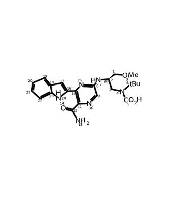 COC[C@@H](CN(C(=O)O)C(C)(C)C)Nc1cnc(C(N)=O)c(-c2cc3ccccc3[nH]2)n1